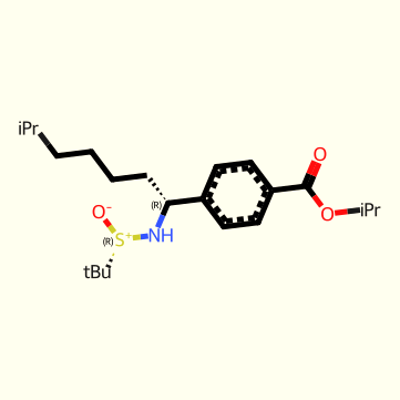 CC(C)CCCC[C@@H](N[S@@+]([O-])C(C)(C)C)c1ccc(C(=O)OC(C)C)cc1